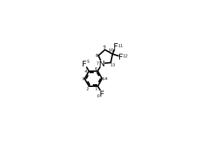 Fc1ccc(F)c(N2CCC(F)(F)C2)c1